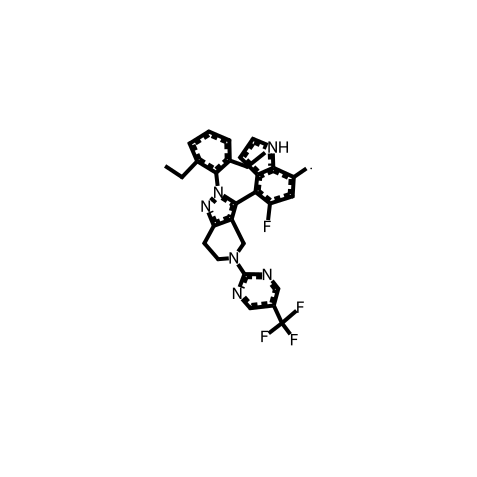 [CH2]c1cc(F)c(-c2c3c(nn2-c2c(CC)cccc2CC)CCN(c2ncc(C(F)(F)F)cn2)C3)c2cc[nH]c12